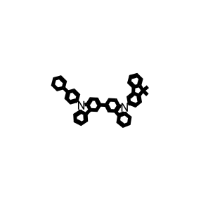 CC1(C)c2ccccc2-c2cc(-n3c4c(c5c3CCC(C3=CC=C6C(C3)c3ccccc3N6c3ccc(C6C=CCCC6)cc3)=C5)C=CCC4)ccc21